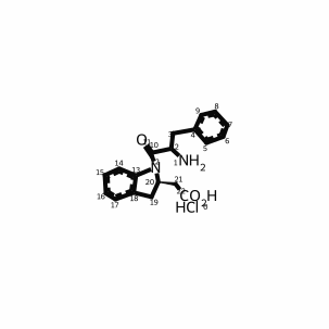 Cl.NC(Cc1ccccc1)C(=O)N1c2ccccc2C[C@@H]1CC(=O)O